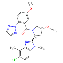 COc1ccc(-n2nccn2)c(C(=O)N2C[C@H](OC)C[C@H]2c2nc3c(C)c(Cl)ccc3n2C)c1